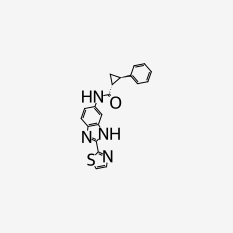 O=C(Nc1ccc2nc(-c3nccs3)[nH]c2c1)[C@@H]1C[C@H]1c1ccccc1